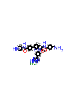 Cl.NCC1CCC(C(=O)N[C@@H](Cc2ccc(-c3ccc(C(=O)NC4CCNCC4)cc3)cc2)C(=O)Nc2ccc(-c3nn[nH]n3)cc2)CC1